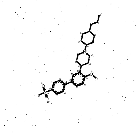 CCCC1CCC(N2CCC(c3cc(-c4ccc(S(C)(=O)=O)cc4)ccc3OC)CC2)CC1